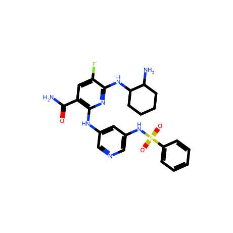 NC(=O)c1cc(F)c(NC2CCCCC2N)nc1Nc1cncc(NS(=O)(=O)c2ccccc2)c1